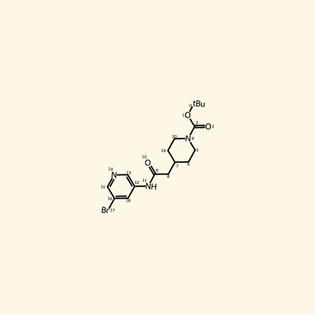 CC(C)(C)OC(=O)N1CCC(CC(=O)Nc2cncc(Br)c2)CC1